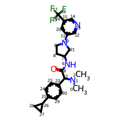 CN(C)C(C(=O)NC1CCN(c2cncc(C(F)(F)F)c2)C1)c1ccc(C2CC2)cc1